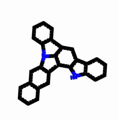 c1ccc2cc3c(cc2c1)c1c2[nH]c4ccccc4c2cc2c4ccccc4n3c21